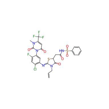 C=CCN1C(=O)C(CC(=O)NS(=O)(=O)c2ccccc2)SC1=Nc1cc(-n2c(=O)cc(C(F)(F)F)n(C)c2=O)c(F)cc1Cl